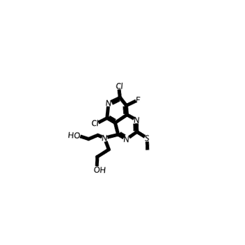 CSc1nc(N(CCO)CCO)c2c(Cl)nc(Cl)c(F)c2n1